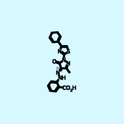 CC1=NN(c2nc(C3=CCCC=C3)cs2)C(=O)/C1=N/Nc1ccccc1C(=O)O